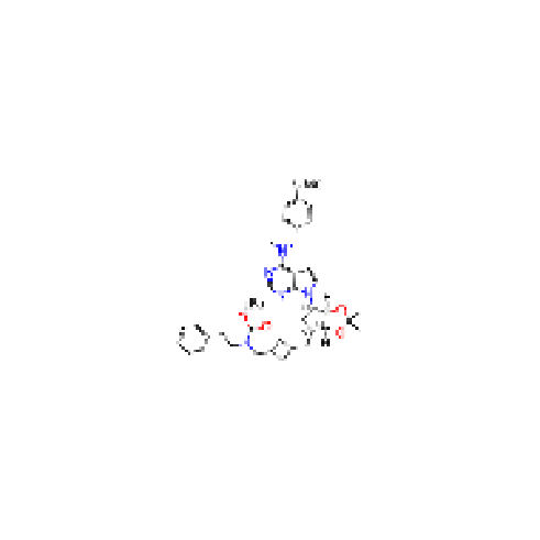 COc1ccc(CN(C)c2ncnc3c2ccn3[C@@H]2C[C@H](CC3CC(CN(CCc4ccccc4)C(=O)OC(C)(C)C)C3)[C@H]3OC(C)(C)O[C@H]32)cc1